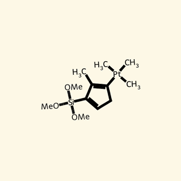 CO[Si](OC)(OC)C1=CC[C]([Pt]([CH3])([CH3])[CH3])=C1C